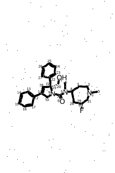 CN1CCC(N(C)C(=O)N2CC(c3ccccc3)=C[C@@]2(CO)c2ccccc2)C[C@@H](F)C1